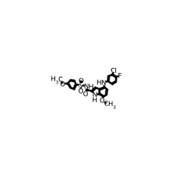 COc1ccc(S(=O)(=O)NC(=O)c2cc3c(Nc4ccc(F)c(Cl)c4)ccc(OC)c3[nH]2)cc1